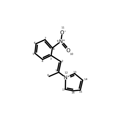 CC(=Cc1ccccc1[N+](=O)[O-])[n+]1ccccc1